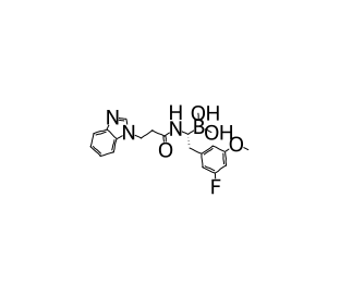 COc1cc(F)cc(C[C@H](NC(=O)CCn2cnc3ccccc32)B(O)O)c1